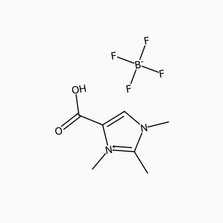 Cc1n(C)cc(C(=O)O)[n+]1C.F[B-](F)(F)F